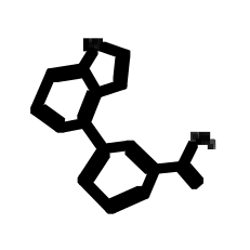 C=C(N)c1cccc(-c2cccc3[nH]ccc23)c1